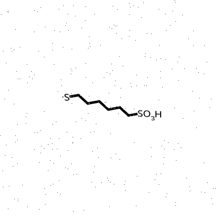 O=S(=O)(O)CCCCCC[S]